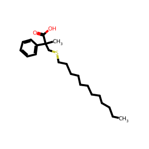 CCCCCCCCCCCCSCC(C)(C(=O)O)c1ccccc1